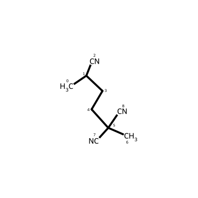 CC(C#N)CCC(C)(C#N)C#N